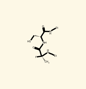 CCNC(=O)[C@@H](CS)NC(=O)[C@](C)(F)NCC